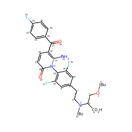 CC(C)(C)OCC(C(=O)O)N(CCc1cc(F)c(-n2c(N)c(C(=O)c3ccc(F)cc3)ccc2=O)c(F)c1)C(C)(C)C